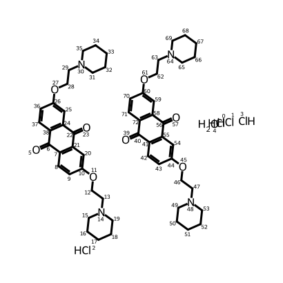 Cl.Cl.Cl.Cl.O.O=C1c2ccc(OCCN3CCCCC3)cc2C(=O)c2cc(OCCN3CCCCC3)ccc21.O=C1c2ccc(OCCN3CCCCC3)cc2C(=O)c2cc(OCCN3CCCCC3)ccc21